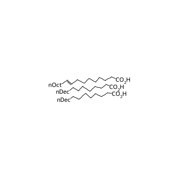 CCCCCCCCC=CCCCCCCCC(=O)O.CCCCCCCCCCCCCCCCCC(=O)O.CCCCCCCCCCCCCCCCCC(=O)O